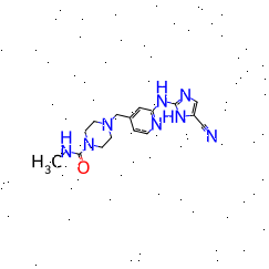 CNC(=O)N1CCN(Cc2ccnc(Nc3ncc(C#N)[nH]3)c2)CC1